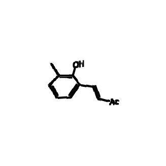 CC(=O)/C=C/c1cccc(C)c1O